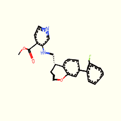 COC(=O)c1ccncc1NC[C@H]1CCOc2cc(-c3ccccc3F)ccc21